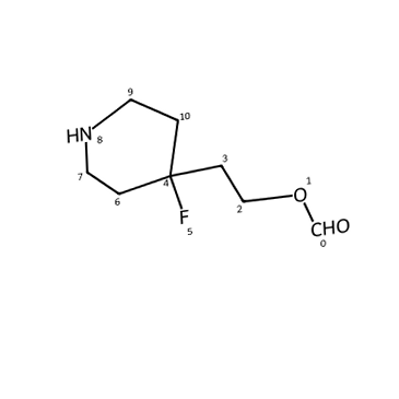 O=COCCC1(F)CCNCC1